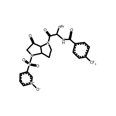 CCCC(NC(=O)c1ccc(C(F)(F)F)cc1)C(=O)N1CCC2C1C(=O)CN2S(=O)(=O)c1ccc[n+]([O-])c1